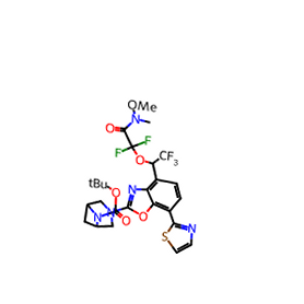 CON(C)C(=O)C(F)(F)OC(c1ccc(-c2nccs2)c2oc(N3CC4CC(C3)N4C(=O)OC(C)(C)C)nc12)C(F)(F)F